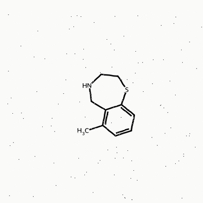 Cc1cccc2c1CNCCS2